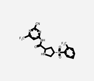 N#Cc1nc(NC(=O)C2C[C@H](S(=O)(=O)c3ccccc3C(F)(F)F)CN2)cc(C(F)(F)F)n1